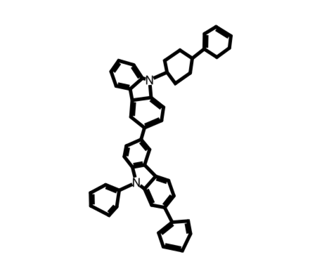 C1=CCCC(C2CCC(n3c4ccccc4c4cc(-c5ccc6c(c5)c5ccc(-c7ccccc7)cc5n6-c5ccccc5)ccc43)CC2)=C1